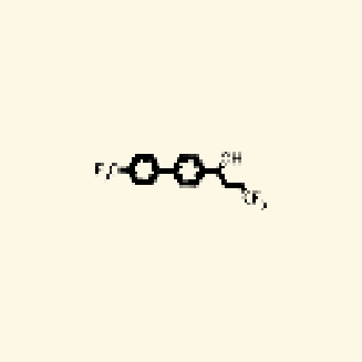 OC(CCC(F)(F)F)c1ccc(-c2ccc(C(F)(F)F)cc2)cc1